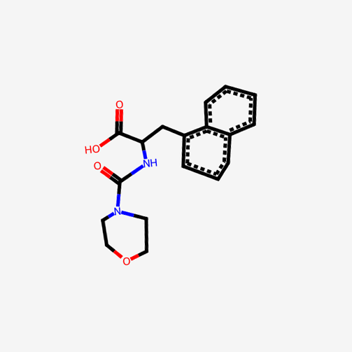 O=C(O)C(Cc1cccc2ccccc12)NC(=O)N1CCOCC1